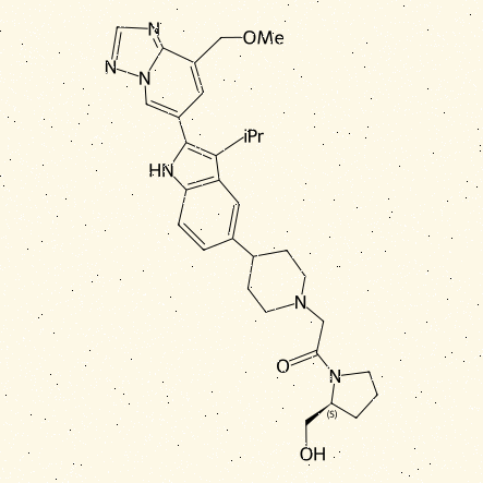 COCc1cc(-c2[nH]c3ccc(C4CCN(CC(=O)N5CCC[C@H]5CO)CC4)cc3c2C(C)C)cn2ncnc12